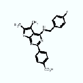 Cc1sc2nc(-c3ccc(C(=O)O)cc3)nc(NCc3ccc(F)cc3)c2c1C